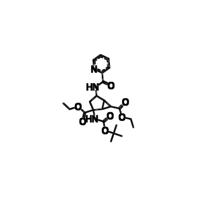 CCOC(=O)C1C2C(NC(=O)c3ccccn3)CC(NC(=O)OC(C)(C)C)(C(=O)OCC)C12